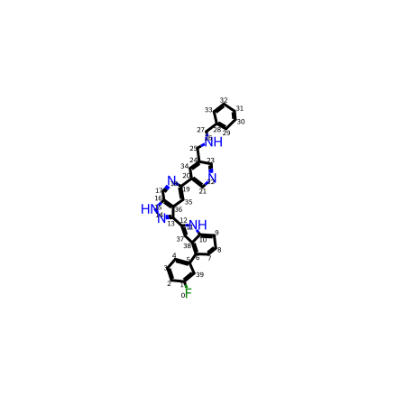 Fc1cccc(-c2cccc3[nH]c(-c4n[nH]c5cnc(-c6cncc(CNCc7ccccc7)c6)cc45)cc23)c1